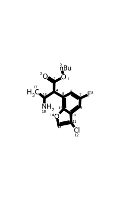 CCCCOC(=O)C(c1cc(F)cc2c(Cl)coc12)C(C)N